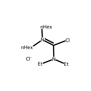 CCCCCC[N+](CCCCCC)=C(Cl)N(CC)CC.[Cl-]